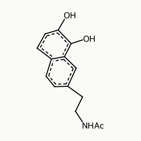 CC(=O)NCCc1ccc2ccc(O)c(O)c2c1